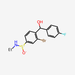 CCN[S+]([O-])c1ccc(C(O)c2ccc(F)cc2)c(Br)c1